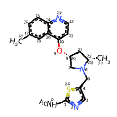 CC(=O)Nc1ncc(CN2C[C@H](Oc3ccnc4ccc(C)cc34)C[C@@H]2C)s1